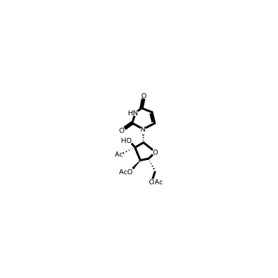 CC(=O)OC[C@H]1O[C@@H](n2ccc(=O)[nH]c2=O)[C@@](O)(C(C)=O)[C@@H]1OC(C)=O